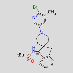 Cc1cc(N2CCC3(CC2)Cc2ccccc2[C@H]3N[S@+]([O-])C(C)(C)C)cnc1Br